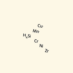 [Cr].[Cu].[Mn].[Ni].[SiH4].[Zr]